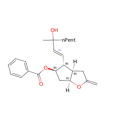 C=C1C[C@@H]2[C@@H](/C=C/C(C)(O)CCCCC)[C@H](OC(=O)c3ccccc3)C[C@@H]2O1